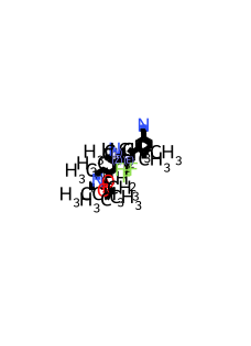 C=C(C/C(C(=C)C)=C(C(/C)=N\C)\C(=C/C(C)c1cc(C#N)cc(C)c1C)C(F)(F)F)C[C@@H](C)N(CC(C)C)C(=O)OC(C)(C)C